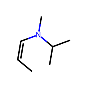 C/C=C\N(C)C(C)C